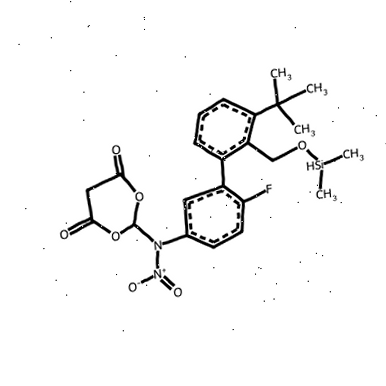 C[SiH](C)OCc1c(-c2cc(N(C3OC(=O)CC(=O)O3)[N+](=O)[O-])ccc2F)cccc1C(C)(C)C